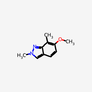 COc1ccc2cn(C)nc2c1C